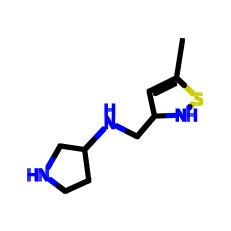 CC1=CC(CNC2CCNC2)NS1